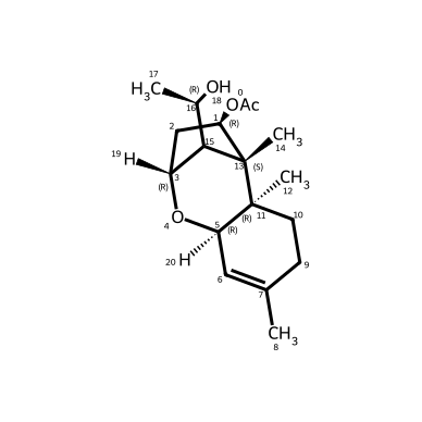 CC(=O)O[C@@H]1C[C@H]2O[C@@H]3C=C(C)CC[C@]3(C)[C@]1(C)C2[C@@H](C)O